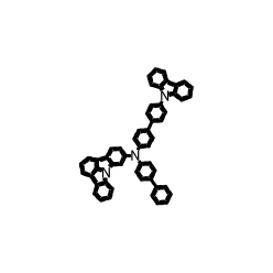 c1ccc(-c2ccc(N(c3ccc(-c4ccc(-n5c6ccccc6c6ccccc65)cc4)cc3)c3ccc4c5cccc6c7ccccc7n(c4c3)c65)cc2)cc1